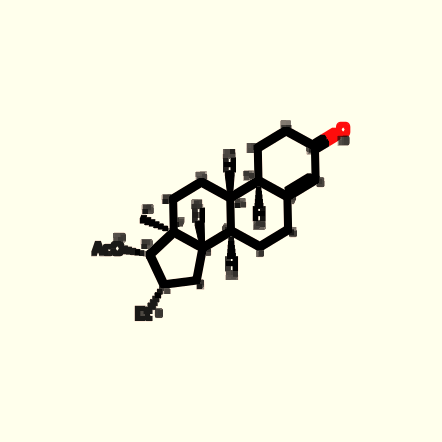 CC[C@H]1C[C@H]2[C@@H]3CCC4=CC(=O)CC[C@@H]4[C@H]3CC[C@]2(C)[C@H]1OC(C)=O